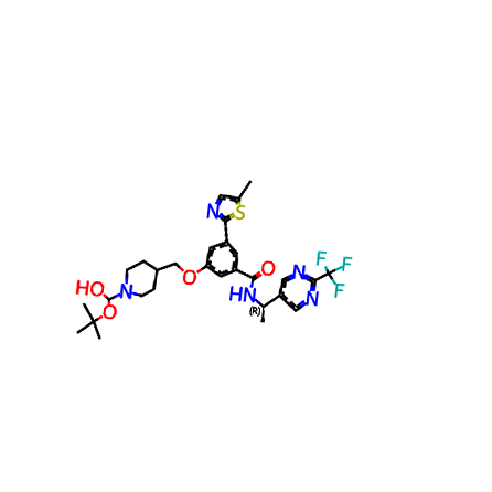 Cc1cnc(-c2cc(OCC3CCN(C(O)OC(C)(C)C)CC3)cc(C(=O)N[C@H](C)c3cnc(C(F)(F)F)nc3)c2)s1